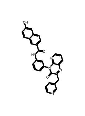 O=C(Nc1cccc(-n2c(=O)c(Cc3cccnc3)nc3cccnc32)c1)c1ccc2cc(O)ccc2c1